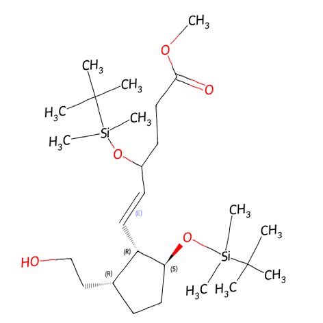 COC(=O)CCC(/C=C/[C@H]1[C@@H](CCO)CC[C@@H]1O[Si](C)(C)C(C)(C)C)O[Si](C)(C)C(C)(C)C